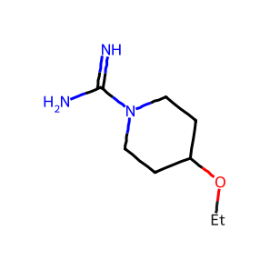 CCOC1CCN(C(=N)N)CC1